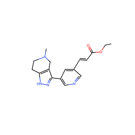 CCOC(=O)/C=C/c1cncc(-c2n[nH]c3c2CN(C)CC3)c1